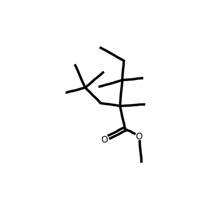 CCC(C)(C)C(C)(CC(C)(C)C)C(=O)OC